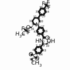 CCS(=O)(=O)c1ccc([C@H](CO)NC(=O)c2ccc(N3CC(c4ccc(C(F)(F)F)cc4)CC[C@H]3COC(C)(F)F)cc2)cc1